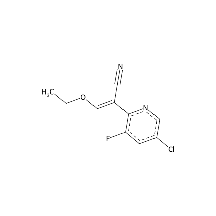 CCOC=C(C#N)c1ncc(Cl)cc1F